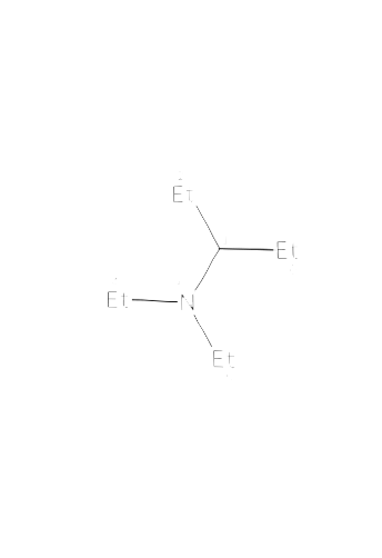 CCC(CC)N(CC)CC